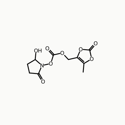 Cc1oc(=O)oc1COC(=O)ON1C(=O)CCC1O